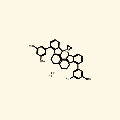 CC(C)(C)c1cc(-c2cccc3c2C=C(C2CCCCC2)[CH]3[Zr+2]2([CH]3C(C4CCCCC4)=Cc4c(-c5cc(C(C)(C)C)cc(C(C)(C)C)c5)cccc43)[CH2][CH2]2)cc(C(C)(C)C)c1.[Cl-].[Cl-]